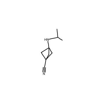 CC(C)NC12CC(C#N)(C1)C2